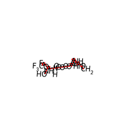 C=CC(=O)NCc1ccc(C(=O)Nc2ccccc2Oc2ccc(OCCOCCOCCOCC(=O)NCCCCc3ccc(OCc4ccc(F)c(C(F)(F)F)c4)c(CNCCO)c3)cc2)cc1